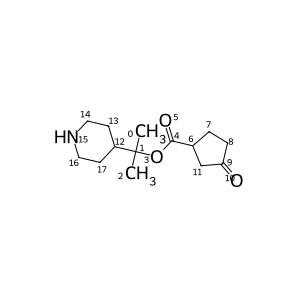 CC(C)(OC(=O)C1CCC(=O)C1)C1CCNCC1